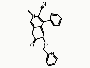 CN1C=C2CC(=O)C(OCc3ccccn3)C=C2C(c2ccccc2)=C1C#N